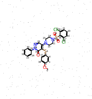 COc1ccc(Sc2c(N3CCN(S(=O)(=O)c4c(Cl)cccc4Cl)CC3)cnn(-c3ccccc3)c2=O)cc1